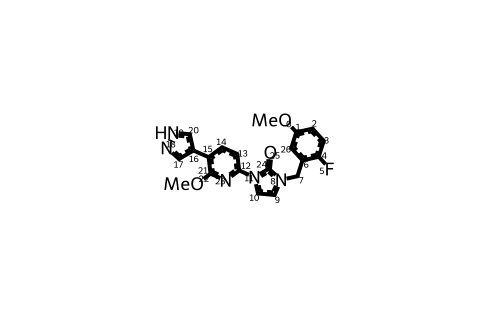 COc1ccc(F)c(Cn2ccn(-c3ccc(-c4cn[nH]c4)c(OC)n3)c2=O)c1